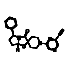 C#Cc1cncc(N2CCC3(CC2)O[C@@H]2CC[C@@H](c4ccccc4)N2C3=O)n1